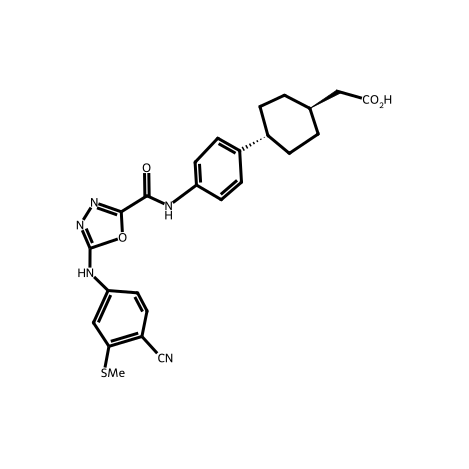 CSc1cc(Nc2nnc(C(=O)Nc3ccc([C@H]4CC[C@H](CC(=O)O)CC4)cc3)o2)ccc1C#N